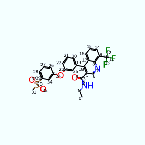 CCNC(=O)c1cnc2c(C(F)(F)F)cccc2c1-c1cccc(Oc2cccc(S(C)(=O)=O)c2)c1